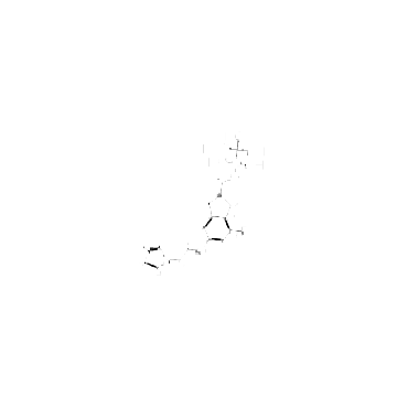 CC(C)(C)[Si](C)(C)OCC1Cc2cc(OCCn3ccnc3)cc(F)c2C1